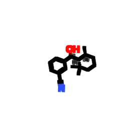 C[C@H]1CCCC(C)(C)[C@@H]1[C@@H](O)c1cccc(C#N)c1